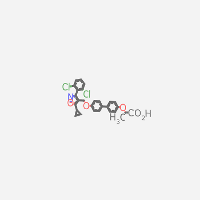 CC(Oc1ccc(-c2ccc(OCc3c(-c4c(Cl)cccc4Cl)noc3C3CC3)cc2)cc1)C(=O)O